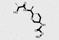 C[C@H](NC(=O)[C@@H](C)O)[C@@H]1CC[C@@H](NC(=O)OC(C)(C)C)CO1